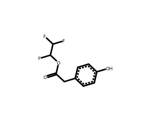 O=C(Cc1ccc(O)cc1)OC(F)C(F)F